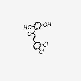 O=C(/C=C/c1ccc(Cl)c(Cl)c1)c1cc(O)ccc1O